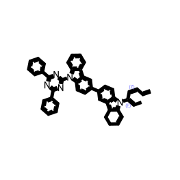 C=C/C=C\C(=C/C)n1c2c(c3cc(-c4ccc5c(c4)c4ccccc4n5-c4nc(-c5ccccc5)nc(-c5ccccc5)n4)ccc31)CCC=C2